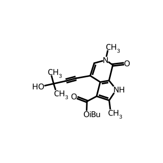 Cc1[nH]c2c(=O)n(C)cc(C#CC(C)(C)O)c2c1C(=O)OCC(C)C